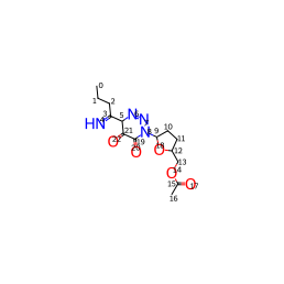 CCCC(=N)C1N=NN(C2CCC(COC(C)=O)O2)C(=O)C1=O